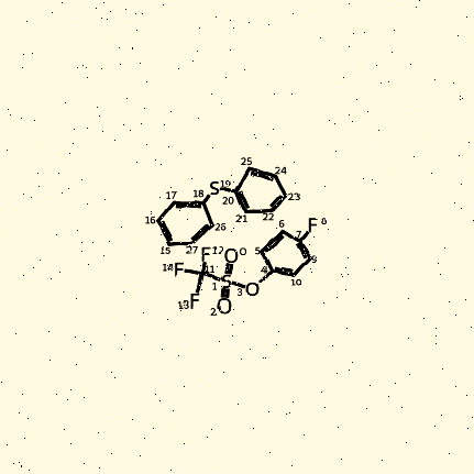 O=S(=O)(Oc1ccc(F)cc1)C(F)(F)F.c1ccc(Sc2ccccc2)cc1